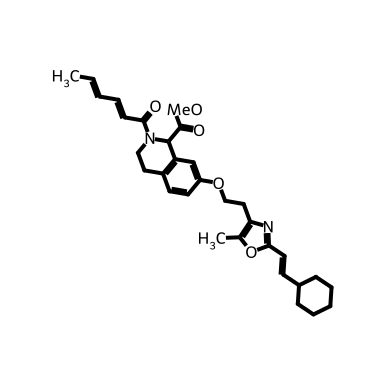 CC=CC=CC(=O)N1CCc2ccc(OCCc3nc(/C=C/C4CCCCC4)oc3C)cc2C1C(=O)OC